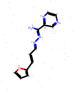 NC(=NN=C/C=C/c1ccco1)c1cnccn1